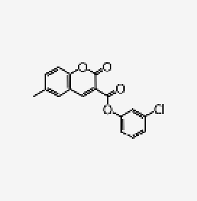 Cc1ccc2oc(=O)c(C(=O)Oc3cccc(Cl)c3)cc2c1